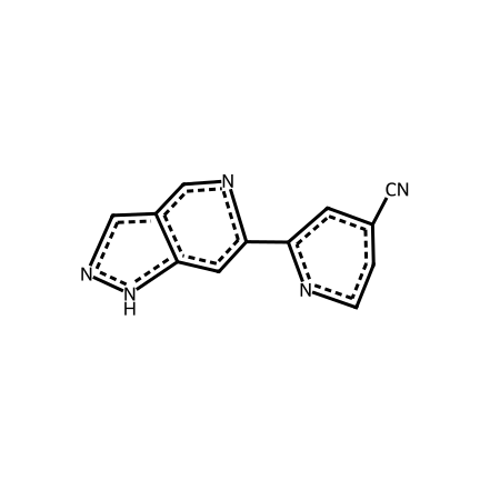 N#Cc1ccnc(-c2cc3[nH]ncc3cn2)c1